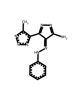 Cc1nnsc1C1=NN=C(N)/C1=N/Nc1ccccc1